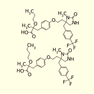 CCCCOC(C)(Cc1ccc(OCCC2(Cc3ccc(C(F)(F)F)cc3)CNC(=O)N2C)cc1)C(=O)O.CCCOC(C)(Cc1ccc(OCCC2(Cc3ccc(C(F)(F)F)cc3)CNC(=O)N2C)cc1)C(=O)O